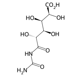 NC(=O)NC(=O)[C@H](O)[C@H](O)[C@@H](O)[C@H](O)C(=O)O